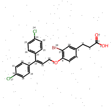 O=C(O)CCc1ccc(OCC=C(c2ccc(Cl)cc2)c2ccc(Cl)cc2)c(Br)c1